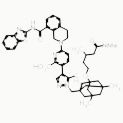 CNC(=O)CC(C)CCOC12CC3(C)CC(C)(CC(Cn4ncc(-c5ccc(N6CCc7cccc(C(=O)Nc8nc9ccccc9s8)c7C6)nc5C(=O)O)c4C)(C3)C1)C2